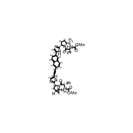 COC(=O)N[C@H](C(=O)N1[C@@H]2C[C@@H]2C[C@H]1c1ncc(C#Cc2ccc3cc(-c4cnc([C@@H]5CC[C@H](C)N5C(=O)[C@@H](NC(=O)OC)C(C)C)[nH]4)ccc3c2)[nH]1)C(C)C